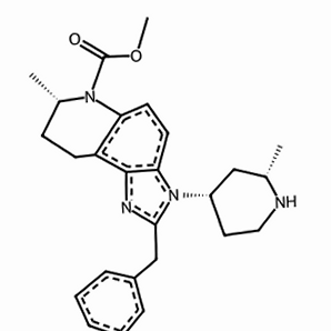 COC(=O)N1c2ccc3c(nc(Cc4ccccc4)n3[C@H]3CCN[C@@H](C)C3)c2CC[C@@H]1C